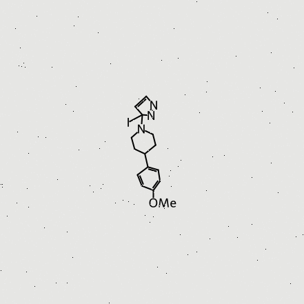 COc1ccc(C2CCN(C3(I)C=CN=N3)CC2)cc1